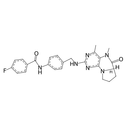 Cc1nc(NCc2ccc(NC(=O)c3ccc(F)cc3)cc2)nc2c1N(C)C(=O)[C@H]1CCCN21